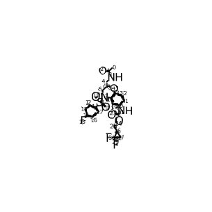 CC(=O)NC[C@H]1CN(S(=O)(=O)c2ccc(F)cc2)c2cc(NC(=O)OCC3CC3(F)F)ccc2O1